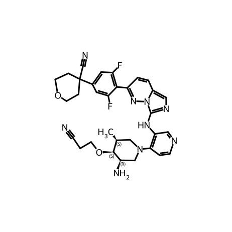 C[C@H]1CN(c2ccncc2Nc2ncc3ccc(-c4c(F)cc(C5(C#N)CCOCC5)cc4F)nn23)C[C@@H](N)[C@H]1OCCC#N